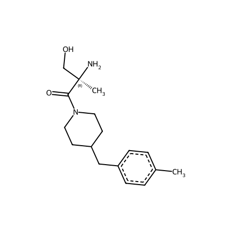 Cc1ccc(CC2CCN(C(=O)[C@](C)(N)CO)CC2)cc1